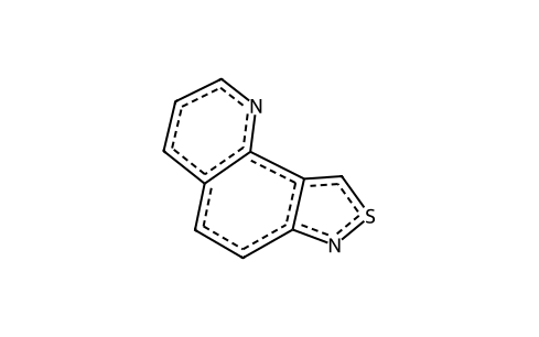 c1cnc2c(c1)ccc1nscc12